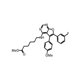 COC(=O)CCCCCNc1ncnc2oc(-c3cccc(F)c3)c(-c3ccc(OC)cc3)c12